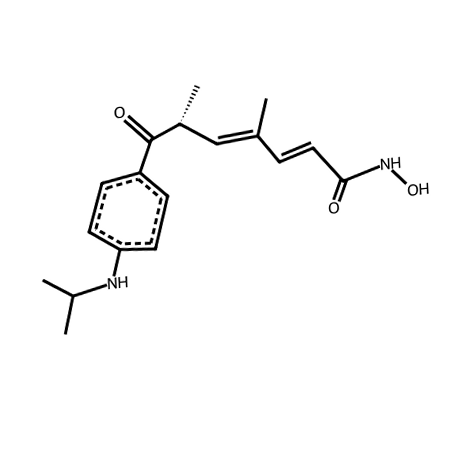 CC(/C=C/C(=O)NO)=C\[C@@H](C)C(=O)c1ccc(NC(C)C)cc1